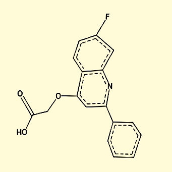 O=C(O)COc1cc(-c2ccccc2)nc2cc(F)ccc12